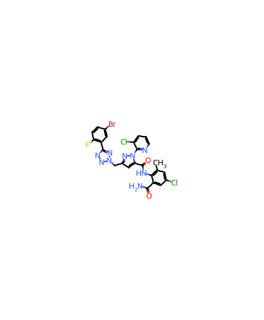 Cc1cc(Cl)cc(C(N)=O)c1NC(=O)c1cc(Cn2nnc(-c3cc(Br)ccc3F)n2)nn1-c1ncccc1Cl